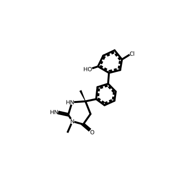 CN1C(=N)N[C@](C)(c2cccc(-c3cc(Cl)ccc3O)c2)CC1=O